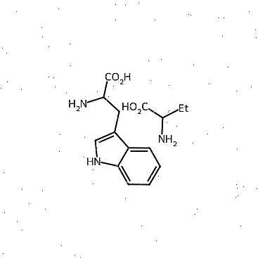 CCC(N)C(=O)O.NC(Cc1c[nH]c2ccccc12)C(=O)O